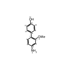 COc1cc(N)ccc1-c1ccc(O)cc1